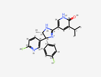 CC(C)c1cc(C2=N[C@@](c3ccc(F)cc3)(c3ccc(F)nc3)[C@H](C)N2)c[nH]c1=O